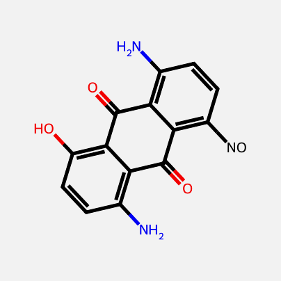 Nc1ccc(O)c2c1C(=O)c1c(N=O)ccc(N)c1C2=O